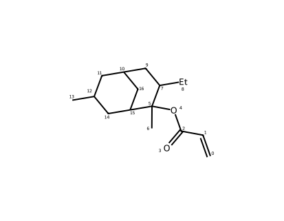 C=CC(=O)OC1(C)C(CC)CC2CC(C)CC1C2